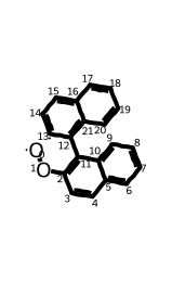 [O]Oc1ccc2ccccc2c1-c1[c]ccc2ccccc12